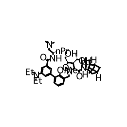 CCC[C@@H](CN(C)C)NC(=O)c1cc(-c2cccc(CN3O[C@@H](CO)[C@@H]([C@H](C)O)[C@H]3C(=O)N[C@H]3C[C@H]4C[C@@H]([C@@H]3C)C4(C)C)c2OC)cc(N(CC)CC)c1